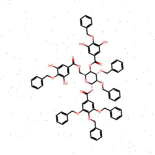 O=C(OC[C@@H]1O[C@@H](OC(=O)c2cc(OCc3ccccc3)c(OCc3ccccc3)c(OCc3ccccc3)c2)[C@H](OCc2ccccc2)[C@@H](OCc2ccccc2)[C@@H]1OC(=O)c1cc(O)c(OCc2ccccc2)c(O)c1)c1cc(O)c(OCc2ccccc2)c(O)c1